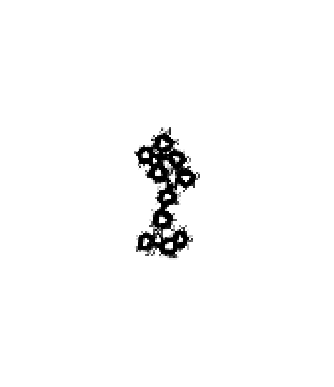 c1ccc(N(c2ccc(-c3ccc(-n4c5ccccc5c5ccc6ccccc6c54)cc3)cc2)c2ccc3c(c2)C(c2ccccc2)(c2ccccc2)c2ccccc2-3)cc1